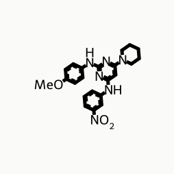 COc1ccc(Nc2nc(Nc3cccc([N+](=O)[O-])c3)cc(N3CCCCC3)n2)cc1